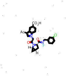 CC(=O)c1cn(CC(=O)N2[C@@H]3C[C@@H]3C[C@H]2C(=O)N(F)Cc2cccc(Cl)c2)c2ccc(C(=O)O)cc12